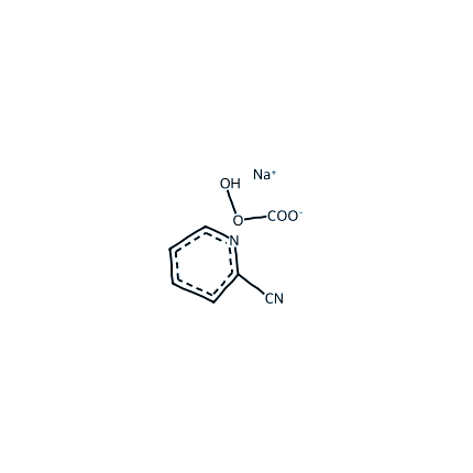 N#Cc1ccccn1.O=C([O-])OO.[Na+]